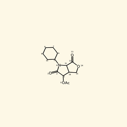 CC(=O)OC1C(=O)N(C2CCCCC2)C2C(=O)OCC12